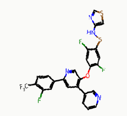 Fc1cc(SNc2cscn2)c(F)cc1Oc1cnc(-c2ccc(C(F)(F)F)c(F)c2)cc1-c1cccnc1